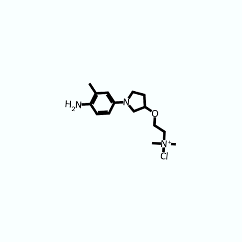 Cc1cc(N2CCC(OCC[N+](C)(C)Cl)C2)ccc1N